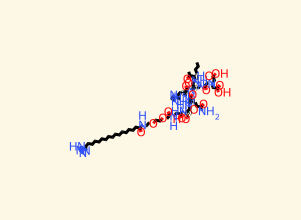 CCCC[C@H](NC(=O)[C@H](CNC(=O)CN(CC(=O)O)CC(=O)O)NC(=O)[C@H](Cc1c[nH]cn1)NC(=O)[C@H](CCC(N)=O)NC(=O)[C@H](CO)NC(=O)CNC(=O)COCCOCCNC(=O)CCCCCCCCCCCCCCCc1nnn[nH]1)C(C)=O